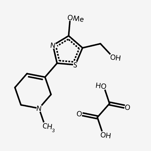 COc1nc(C2=CCCN(C)C2)sc1CO.O=C(O)C(=O)O